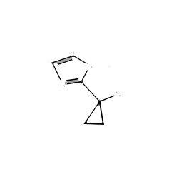 Cl.NC1(c2ncc[nH]2)CC1